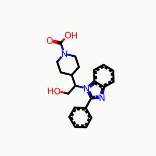 O=C(O)N1CCC(C(CO)n2c(-c3ccccc3)nc3ccccc32)CC1